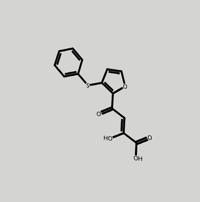 O=C(O)C(O)=CC(=O)c1occc1Sc1ccccc1